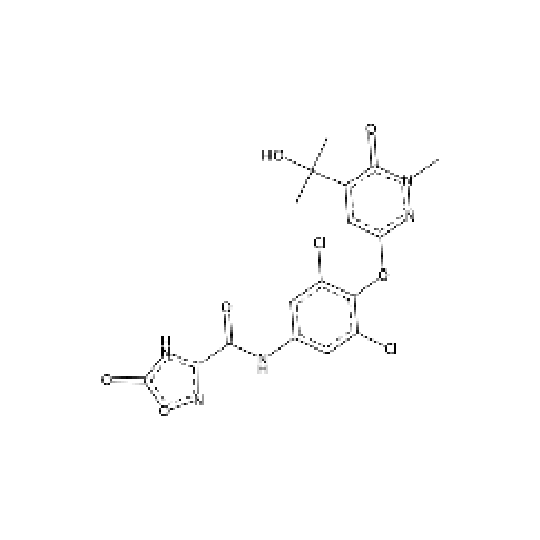 Cn1nc(Oc2c(Cl)cc(NC(=O)c3noc(=O)[nH]3)cc2Cl)cc(C(C)(C)O)c1=O